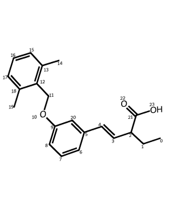 CCC(C=Cc1cccc(OCc2c(C)cccc2C)c1)C(=O)O